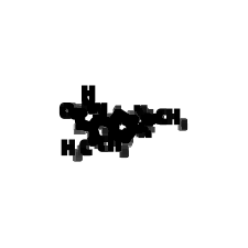 CC1=Nc2cc(C3=NNC(=O)CC3C(C)C)ccc2[N]1